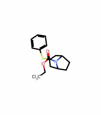 O=C(OCC(Cl)(Cl)Cl)N1C2CCC1CC(Sc1ccccc1)C2